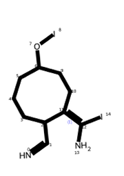 N=CC1CCCC(OI)CC/C1=C(/N)I